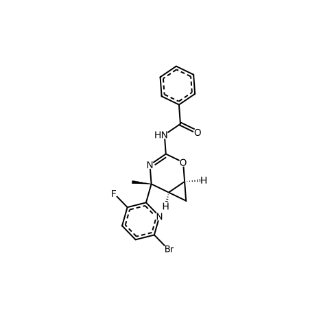 C[C@@]1(c2nc(Br)ccc2F)N=C(NC(=O)c2ccccc2)O[C@H]2C[C@H]21